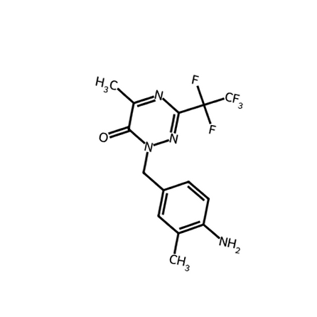 Cc1cc(Cn2nc(C(F)(F)C(F)(F)F)nc(C)c2=O)ccc1N